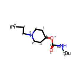 CC(C)CCN1CCC(OC(=O)NC(C)(C)C)CC1